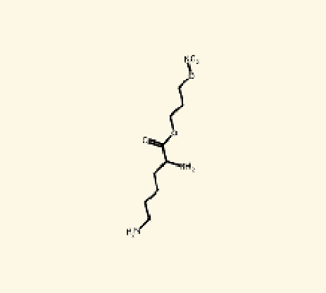 NCCCCC(N)C(=O)OCCCO[N+](=O)[O-]